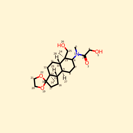 CN(C(=O)CO)C1CC[C@@H]2[C@H](CC[C@@]3(C)[C@H]2CCC32OCCO2)[C@@]1(C)CO